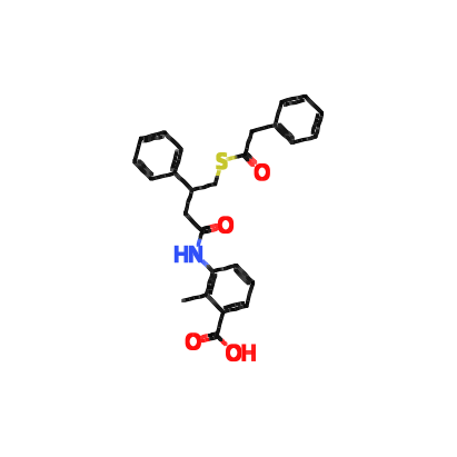 Cc1c(NC(=O)CC(CSC(=O)Cc2ccccc2)c2ccccc2)cccc1C(=O)O